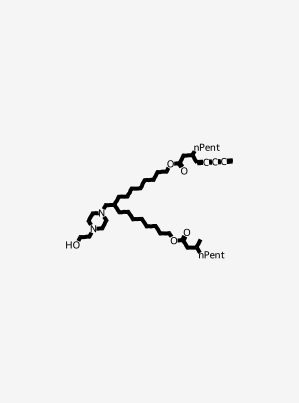 C=C=C=C=CC(CCCCC)CC(=O)OCCCCCCCCC(CCCCCCCCOC(=O)CC(C)CCCCC)CN1CCN(CCO)CC1